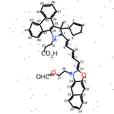 CC1(C2C=CCC2)C(/C=C/C=C/C=C2/Oc3cc4ccccc4cc3N2CCOC=O)=[N+](CCC(=O)O)c2c1c1ccccc1c1ccccc21